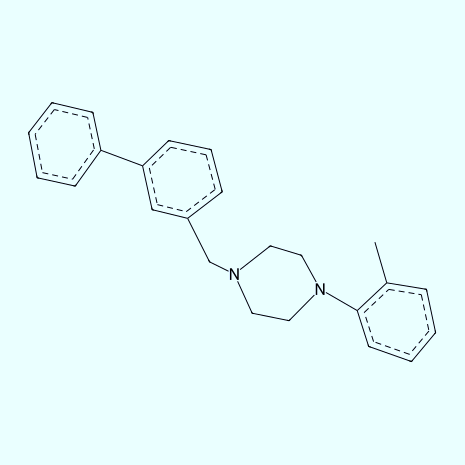 Cc1ccccc1N1CCN(Cc2cccc(-c3ccccc3)c2)CC1